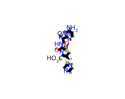 CON=C(C(=O)NC1C(=O)N2C(C(=O)O)=C(CSc3cnccn3)CS[C@@H]12)c1nccc(N)n1